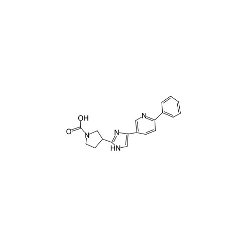 O=C(O)N1CCC(c2nc(-c3ccc(-c4ccccc4)nc3)c[nH]2)C1